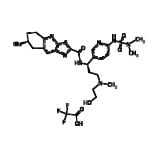 CN(CCO)CC[C@@H](NC(=O)c1nc2cc3c(nc2s1)CC[C@H](C(C)(C)C)C3)c1ccc(NS(=O)(=O)N(C)C)nc1.O=C(O)C(F)(F)F